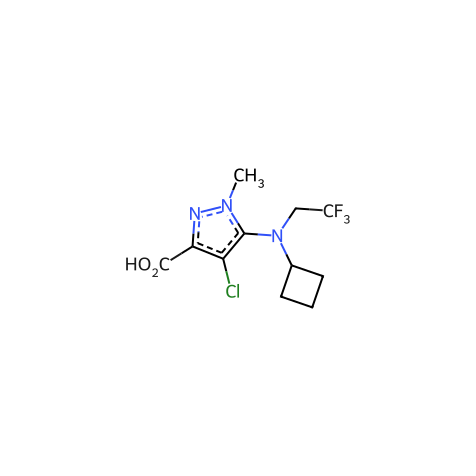 Cn1nc(C(=O)O)c(Cl)c1N(CC(F)(F)F)C1CCC1